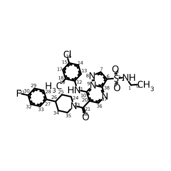 CCNS(=O)(=O)c1cnn2c(Nc3ccc(Cl)cc3C)c(C(=O)N3CCC(c4ccc(F)cc4)CC3)cnc12